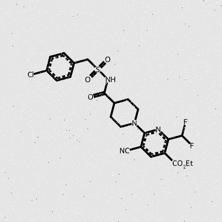 CCOC(=O)c1cc(C#N)c(N2CCC(C(=O)NS(=O)(=O)Cc3ccc(Cl)cc3)CC2)nc1C(F)F